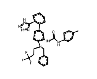 Cc1ccc(NC(=O)Nc2cc(-c3ccccc3-c3nnn[nH]3)ccc2N(CCC(F)(F)F)Cc2ccccc2)cc1